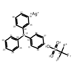 O=S(=O)([O-])C(F)(F)F.[Ag+].c1ccc(P(c2ccccc2)c2ccccc2)cc1